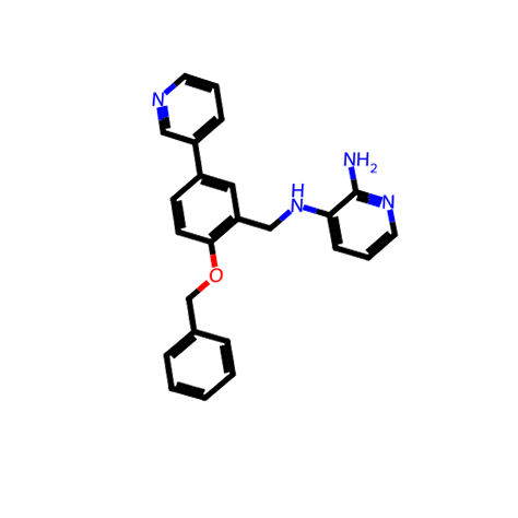 Nc1ncccc1NCc1cc(-c2cccnc2)ccc1OCc1ccccc1